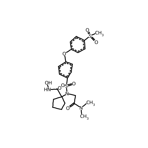 CN(C)C(=O)CN(C1(C(=O)NO)CCCC1)S(=O)(=O)c1ccc(Oc2ccc(S(C)(=O)=O)cc2)cc1